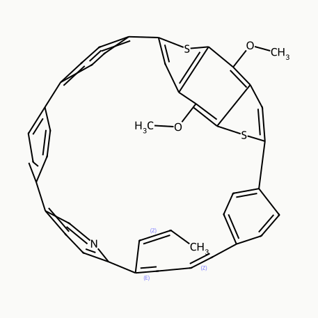 C\C=C/C1=C\C=C/c2ccc(cc2)-c2cc3c(OC)c4sc(cc4c(OC)c3s2)-c2ccc(cc2)-c2ccc(cc2)-c2ccc1nc2